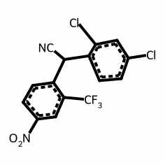 N#CC(c1ccc(Cl)cc1Cl)c1ccc([N+](=O)[O-])cc1C(F)(F)F